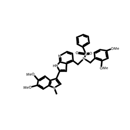 COc1ccc(CN(Cc2ccnc3[nH]c(-c4cn(C)c5cc(OC)c(OC)cc45)cc23)S(=O)(=O)c2ccccc2)c(OC)c1